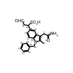 Cc1c(CC(N)=O)c2cc(C(CC=O)S(=O)(=O)O)ccc2n1Cc1ccccc1